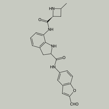 CC1C[C@@H](C(=O)Nc2cccc3c2NC(C(=O)Nc2ccc4oc(C=O)cc4c2)C3)N1